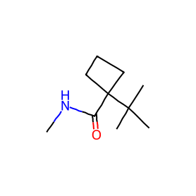 CNC(=O)C1(C(C)(C)C)CCC1